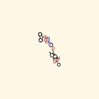 C=C1CCC2[C@]3(C)CO[C@@H](C4CCCC4)O[C@@H]3CC[C@@]2(C)[C@@H]1CCOC1CCN(C(=O)CN(C)C(=O)OC2c3ccccc3-c3ccccc32)CC1